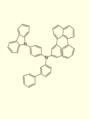 c1ccc(-c2cccc(N(c3ccc(-n4c5ccccc5c5ccccc54)cc3)c3cccc(-c4cccc5cccc(-c6ccccc6)c45)c3)c2)cc1